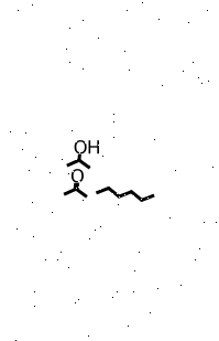 CC(C)=O.CC(C)O.CCCCCC